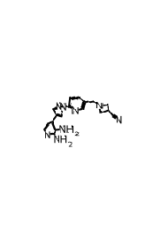 N#CC1CN(Cc2ccc(-n3cc(-c4ccnc(N)c4N)cn3)nc2)C1